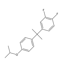 CC(C)Oc1ccc(C(C)(C)c2ccc(F)c(F)c2)cc1